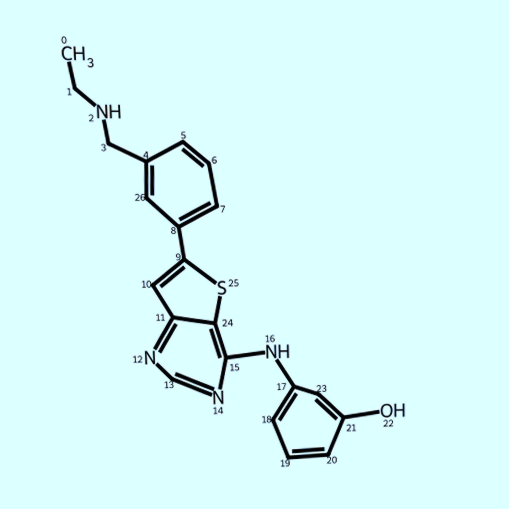 CCNCc1cccc(-c2cc3ncnc(Nc4cccc(O)c4)c3s2)c1